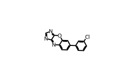 Clc1cccc(-c2ccc3nc4ncnc-4oc3c2)c1